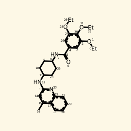 CCOc1cc(C(=O)NC2CCC(Nc3cc(C)c4ccccc4n3)CC2)cc(OCC)c1OCC